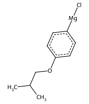 CC(C)COc1cc[c]([Mg][Cl])cc1